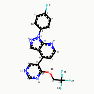 Fc1ccc(-n2ncc3c(-c4cncnc4OCC(F)(F)F)ccnc32)cc1